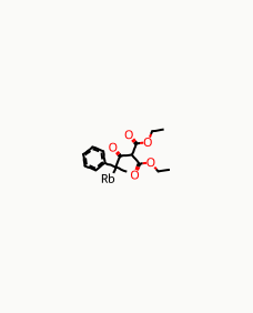 CCOC(=O)C(C(=O)OCC)C(=O)[C](C)([Rb])c1ccccc1